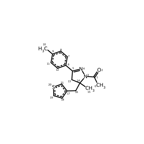 CC(=O)N1N=C(c2ccc(C)cc2)CC1(C)Cc1ccsc1